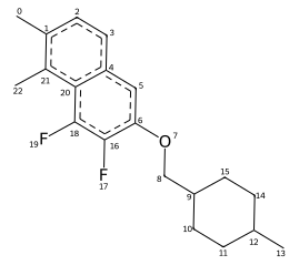 Cc1ccc2cc(OCC3CCC(C)CC3)c(F)c(F)c2c1C